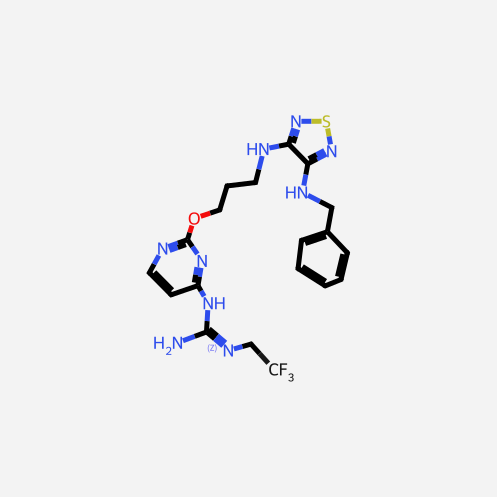 N/C(=N/CC(F)(F)F)Nc1ccnc(OCCCNc2nsnc2NCc2ccccc2)n1